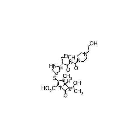 CCSC(C(=O)N(C)C(=O)N1CCN(CCO)CC1)[C@@H]1C[C@H](SC2=C(C(=O)O)N3C(=O)[C@H]([C@@H](C)O)[C@H]3[C@H]2C)CN1